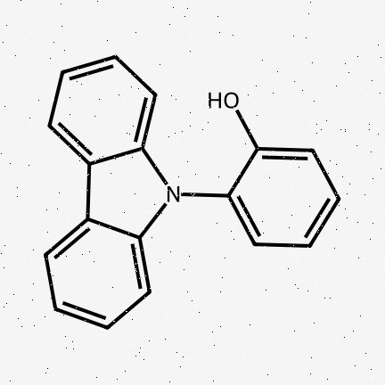 Oc1ccccc1-n1c2ccccc2c2ccccc21